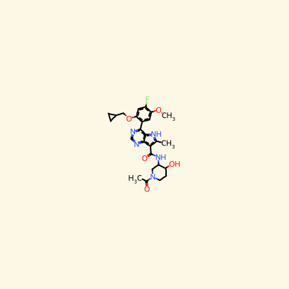 COc1cc(-c2ncnc3c(C(=O)NC4CN(C(C)=O)CCC4O)c(C)[nH]c23)c(OCC2CC2)cc1F